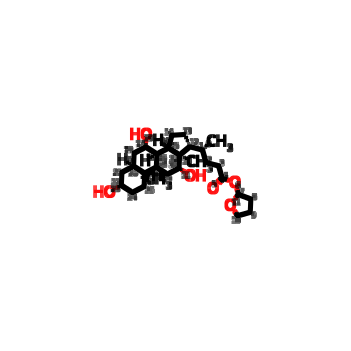 C[C@H](CCC(=O)OC1CCCO1)[C@H]1CC[C@H]2[C@@H]3[C@H](O)C[C@@H]4C[C@H](O)CC[C@]4(C)[C@H]3C[C@H](O)[C@]12C